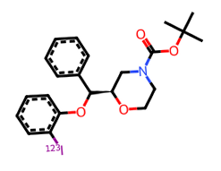 CC(C)(C)OC(=O)N1CCO[C@@H](C(Oc2ccccc2[123I])c2ccccc2)C1